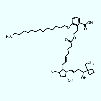 CCCCCCCCCCCCCCOc1cccc(C(=O)O)c1CCOC(=O)CCCC=CC[C@@H]1[C@@H](C=CC[C@H](O)C2(CC)CCC2)[C@H](O)C[C@H]1Cl